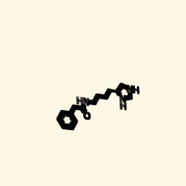 O=C(Cc1ccccc1)NCCCC[C@H]1CNCN1